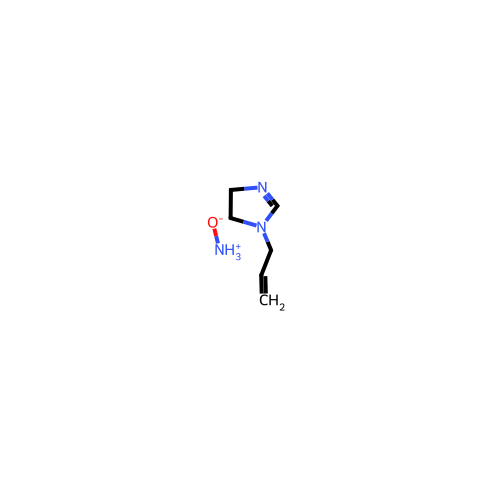 C=CCN1C=NCC1.[NH3+][O-]